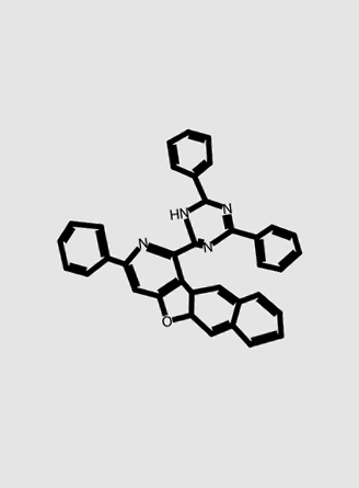 C1=c2ccccc2=CC2c3c(cc(-c4ccccc4)nc3C3=NC(c4ccccc4)=NC(c4ccccc4)N3)OC12